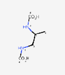 CC(CNC(=O)O)NC(=O)O